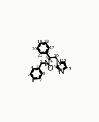 [O-]/[N+](Cc1ccccc1)=C(\Cn1ccnc1)c1ccccc1